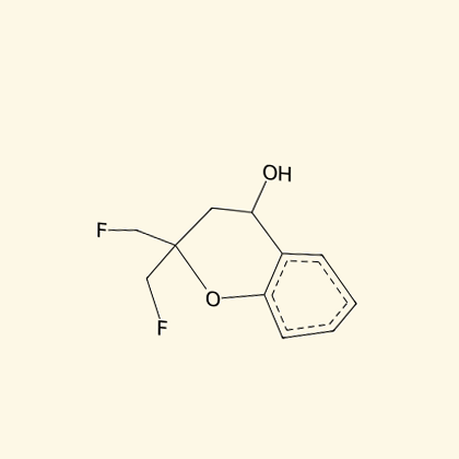 OC1CC(CF)(CF)Oc2ccccc21